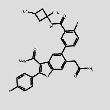 CNC(=O)c1c(-c2ccc(F)cc2)oc2cc(CC(N)=O)c(-c3ccc(F)c(C(=O)NC4(C)CC(C)C4)c3)cc12